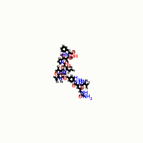 CC[C@H](C)[C@@H]([C@@H](CC(=O)N1CCCC1[C@H](OC)[C@H](C)C(=O)N[C@H](Cc1ccccc1)C(=O)O)OC)N(C)C(=O)[C@@H](NC(=O)[C@H](C(C)C)N(C)C(=O)OCc1ccc(NC(=O)C(CCCNC(N)=O)NC(=O)[C@@H](NC)C(C)C)cc1)C(C)C